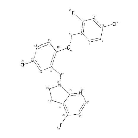 Fc1cc(Cl)ccc1COc1ccc(Cl)cc1CN1CCc2c(I)ccnc21